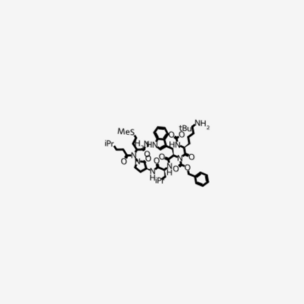 CSCCC(C(N)=O)N(C(=O)CCC(C)C)N1CC[C@H](NC(=O)[C@H](CC(C)C)NC(=O)[C@@H](Cc2c[nH]c3ccccc23)N(C(=O)OCc2ccccc2)C(=O)[C@H](CCCCN)NC(=O)OC(C)(C)C)C1=O